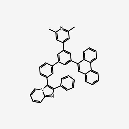 Cc1cc(-c2cc(-c3cccc(-c4c(-c5ccccc5)nc5ccccn45)c3)cc(-c3cc4ccccc4c4ccccc34)c2)cc(C)n1